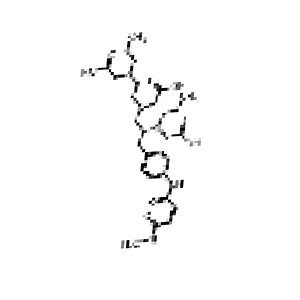 CCCN(CCN(CC(=O)O)CC(Cc1ccc(NC(=O)/C=C\C(=O)NC)cc1)N(CCC)CC(=O)O)CC(=O)O